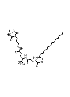 BN[C@@H](CCCCNC(=O)CC[C@H](NC(=O)CC[C@H](NC(=O)CCCCCCCCCCCCC)C(=O)O)C(=O)O)C(=O)S